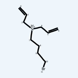 C=CC[SiH](CC=C)CCCCBr